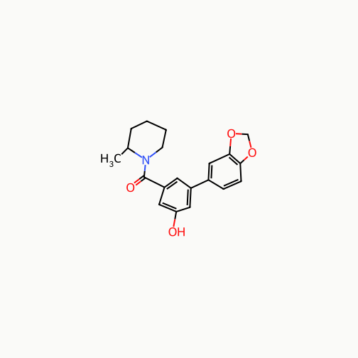 CC1CCCCN1C(=O)c1cc(O)cc(-c2ccc3c(c2)OCO3)c1